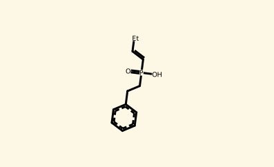 CCC=CP(=O)(O)CCc1ccccc1